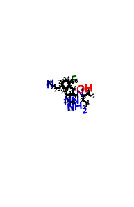 CCCC(CC)N(O)c1nc(N)nc(C)c1Cc1cc(CC#N)ccc1F